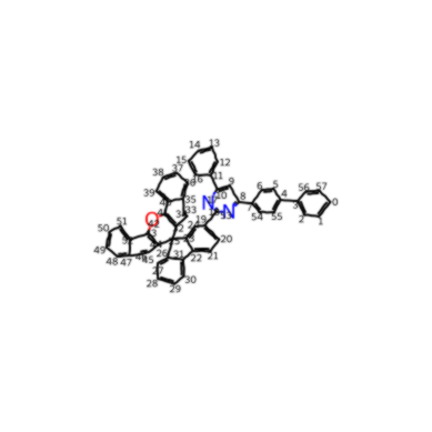 c1ccc(-c2ccc(-c3cc(-c4ccccc4)nc(-c4ccc5c(c4)C4(c6ccccc6-5)c5ccc6ccccc6c5Oc5c4ccc4ccccc54)n3)cc2)cc1